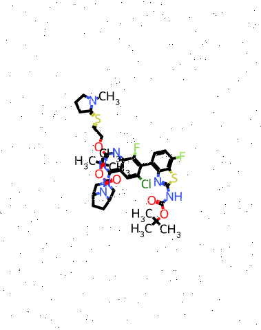 CN1CCCC1=S=CCOc1nc(N2CC3CCC(C2)N3C(=O)OC(C)(C)C)c2cc(Cl)c(-c3ccc(F)c4sc(NC(=O)OC(C)(C)C)nc34)c(F)c2n1